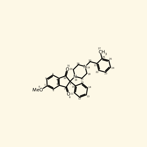 COc1ccc2c(c1)C(=O)C(c1ccccc1)(N1CCN(Cc3ccccc3C)CC1)C2=O